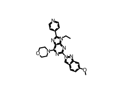 CCn1c(-c2ccncc2)nc2c(N3CCOCC3)nc(-n3cc4ccc(OC)cc4n3)nc21